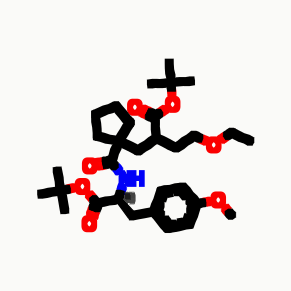 CCOCCC(CC1(C(=O)N[C@@H](Cc2ccc(OC)cc2)C(=O)OC(C)(C)C)CCCC1)C(=O)OC(C)(C)C